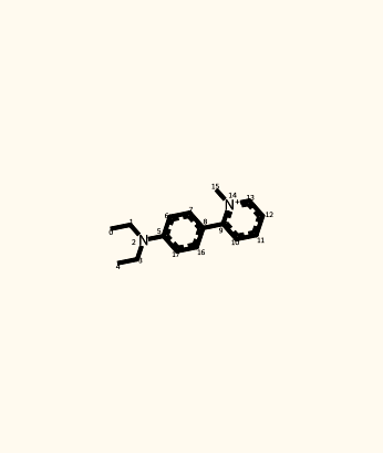 CCN(CC)c1ccc(-c2cccc[n+]2C)cc1